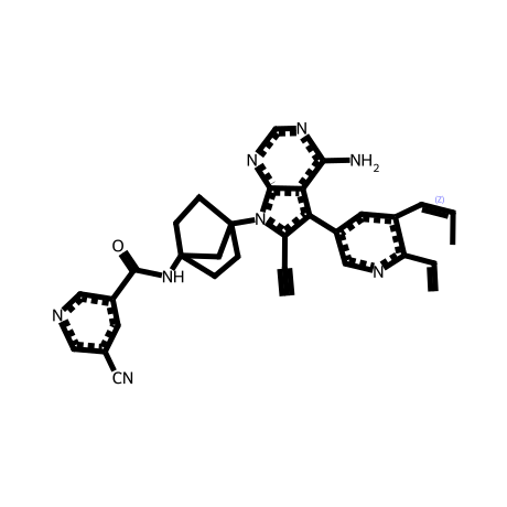 C#Cc1c(-c2cnc(C=C)c(/C=C\C)c2)c2c(N)ncnc2n1C12CCC(NC(=O)c3cncc(C#N)c3)(CC1)C2